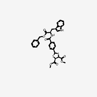 COC(=O)C1SC(c2ccc(C(=O)NC(Cc3c[nH]c4ccccc34)C(=O)OCc3ccccc3)cc2)SC1C(=O)OC